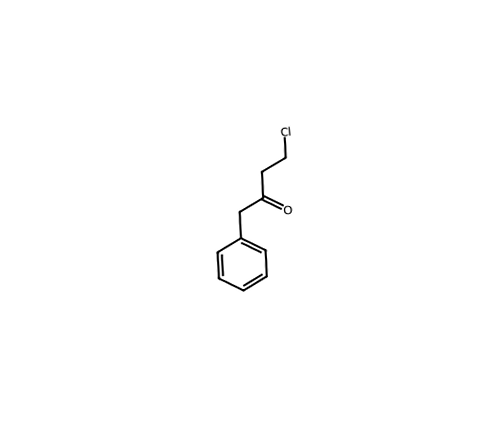 O=C(CCCl)Cc1ccccc1